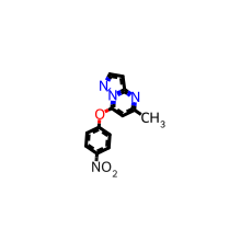 Cc1cc(Oc2ccc([N+](=O)[O-])cc2)n2nccc2n1